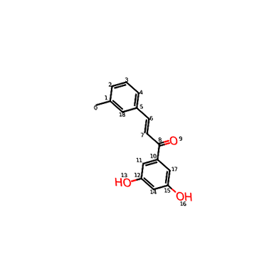 Cc1cccc(C=CC(=O)c2cc(O)cc(O)c2)c1